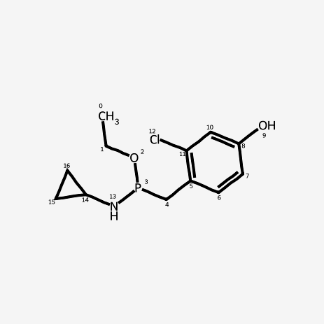 CCOP(Cc1ccc(O)cc1Cl)NC1CC1